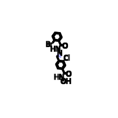 O=C(NO)c1ccc(/C=N/NC(=O)c2ccccc2Br)c(Cl)c1